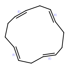 C1=C/CC/C=C/C/C=C/CC/C=C/C/1